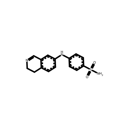 NS(=O)(=O)c1ccc(Nc2ccc3c(c2)C=NCC3)cc1